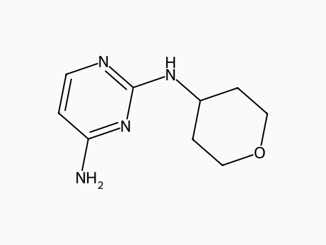 Nc1ccnc(NC2CCOCC2)n1